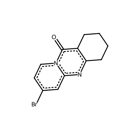 O=c1c2c(nc3cc(Br)ccn13)CCCC2